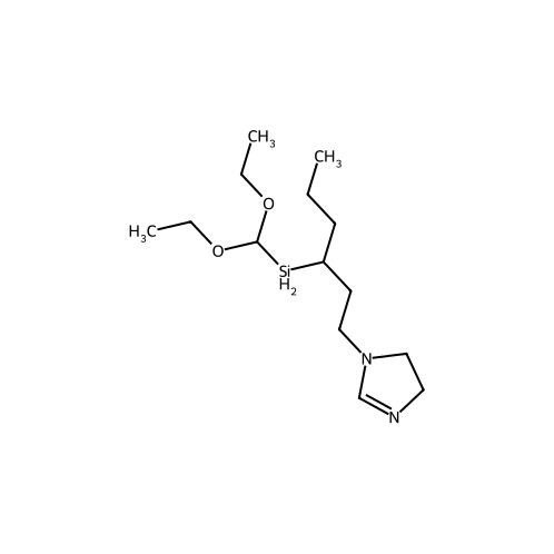 CCCC(CCN1C=NCC1)[SiH2]C(OCC)OCC